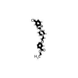 CCOC(=O)c1cccc(OCCN2CCN(c3nc4ccc(Cl)cc4s3)CC2)c1